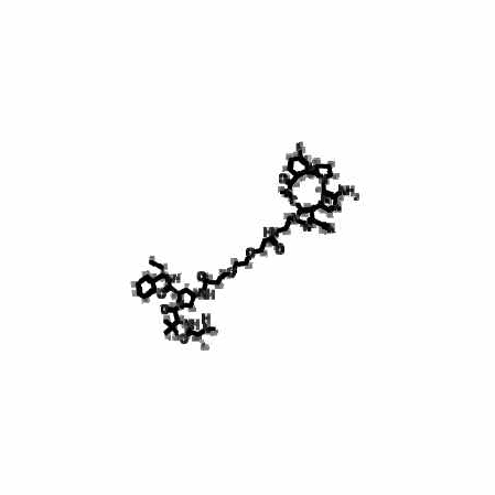 CC[C@H](NC(=O)[C@H]1C[C@@H](NC(=O)CCOCCOCCC(=O)NCCn2nc(C#N)c3c2CN(C)C(=O)c2ccc(F)cc2[C@H]2CCCN2c2nc-3cnc2N)CN1C(=O)[C@H](NC(=O)[C@@H](C)NC)C(C)(C)C)c1ccccc1